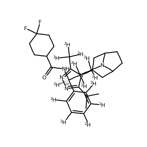 [2H]c1c([2H])c([2H])c([C@@]([2H])(NC(=O)C2CCC(F)(F)CC2)C([2H])([2H])C([2H])([2H])N2C3CCC2CC(n2c(C(C)C)nnc2C([2H])([2H])[2H])C3)c([2H])c1[2H]